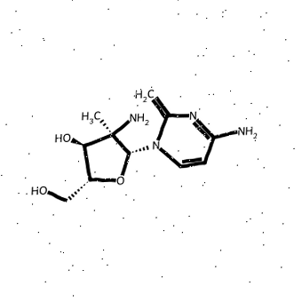 C=C1N=C(N)C=CN1[C@@H]1O[C@H](CO)[C@@H](O)[C@@]1(C)N